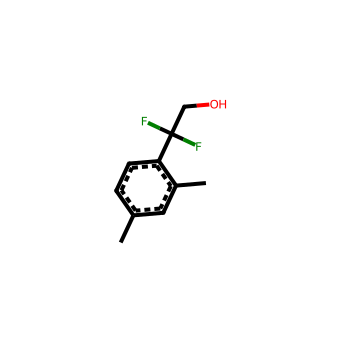 Cc1ccc(C(F)(F)CO)c(C)c1